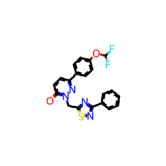 O=c1ccc(-c2ccc(OC(F)F)cc2)nn1Cc1nc(-c2ccccc2)ns1